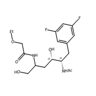 CCOCC(=O)NC(CO)C[C@H](O)[C@H](Cc1cc(F)cc(F)c1)NC(C)=O